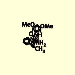 CC#Cc1ccccc1N(C(=O)Nc1nc(OC)cc(OC)n1)S(N)(=O)=O